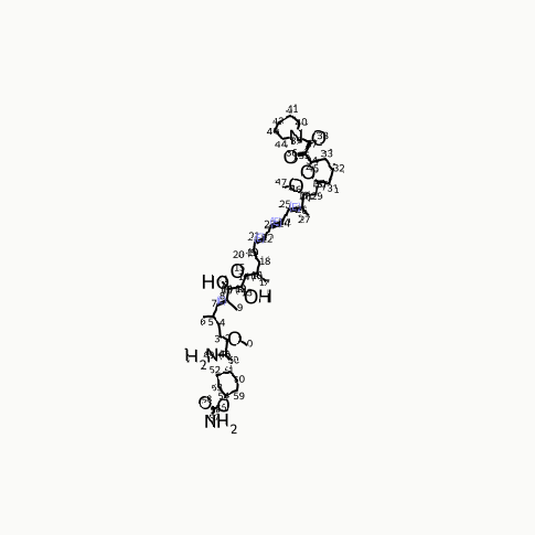 COC(CCC(C)/C=C(\C)[C@@H](O)[C@@H](O)C(=O)[C@H](C)C[C@H](C)/C=C/C=C/C=C(\C)[C@H](C[C@@H]1CCCC(C(=O)C(=O)N2CCCCC2)O1)OC)[C@H](N)C[C@H]1CC[C@H](OC(N)=O)CC1